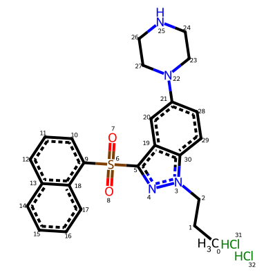 CCCn1nc(S(=O)(=O)c2cccc3ccccc23)c2cc(N3CCNCC3)ccc21.Cl.Cl